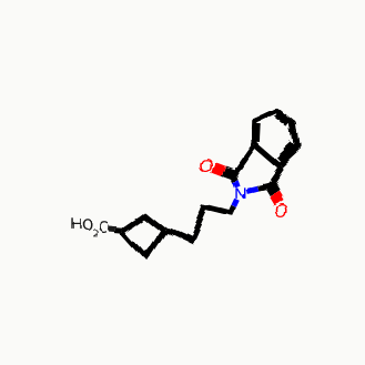 O=C(O)C1CC(CCCN2C(=O)c3ccccc3C2=O)C1